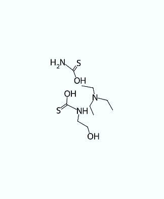 CCN(CC)CC.NC(O)=S.OCCNC(O)=S